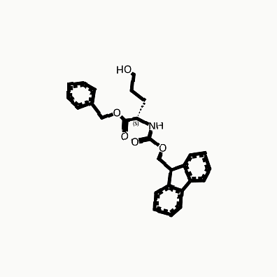 O=C(N[C@@H](CCCO)C(=O)OCc1ccccc1)OCC1c2ccccc2-c2ccccc21